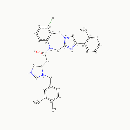 COc1cc(CN2C=NCC2CC(=O)N2Cc3nc(-c4ccccc4OC)cn3Cc3c(F)cccc32)ccc1C#N